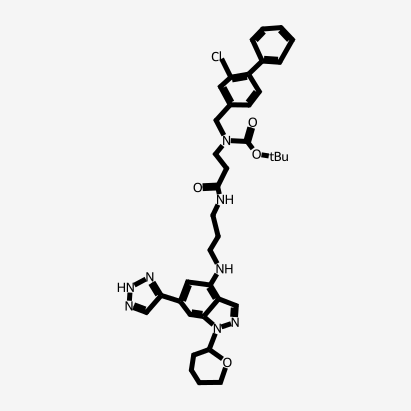 CC(C)(C)OC(=O)N(CCC(=O)NCCCNc1cc(-c2cn[nH]n2)cc2c1cnn2C1CCCCO1)Cc1ccc(-c2ccccc2)c(Cl)c1